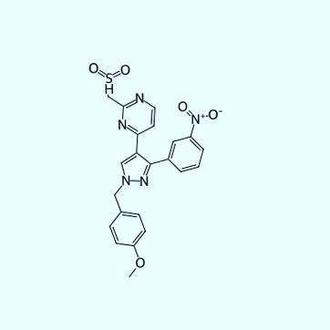 COc1ccc(Cn2cc(-c3ccnc(C[SH](=O)=O)n3)c(-c3cccc([N+](=O)[O-])c3)n2)cc1